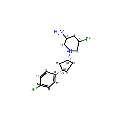 NC1CC(F)CN([C@@H]2CC[C@H](c3ccc(F)cc3)C2)C1